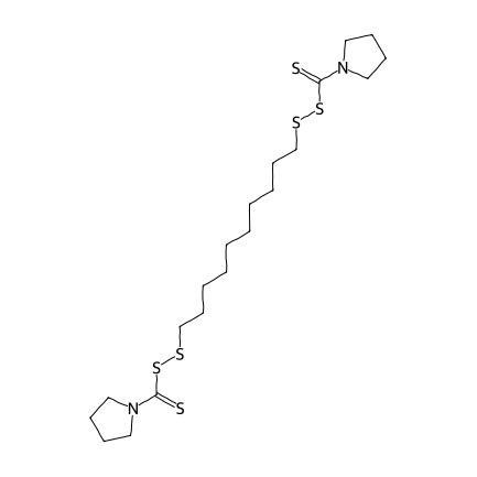 S=C(SSCCCCCCCCCCSSC(=S)N1CCCC1)N1CCCC1